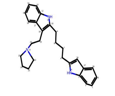 c1ccc2[nH]c(CCCCc3[nH]c4ccccc4c3CCN3CCCC3)cc2c1